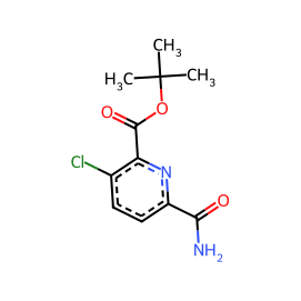 CC(C)(C)OC(=O)c1nc(C(N)=O)ccc1Cl